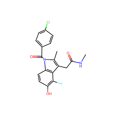 CNC(=O)Cc1c(C)n(C(=O)c2ccc(Cl)cc2)c2ccc(O)c(F)c12